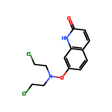 O=c1ccc2ccc(ON(CCCl)CCCl)cc2[nH]1